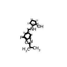 CC(C)c1nc2cc(CN[C@H]3CCC[C@H]3O)cc(F)c2o1